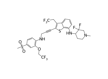 CN1CCC(Nc2cccc3c(CC(F)(F)F)c(C#CCNc4ccc(S(C)(=O)=O)cc4OCC(F)(F)F)sc23)C(F)(F)C1